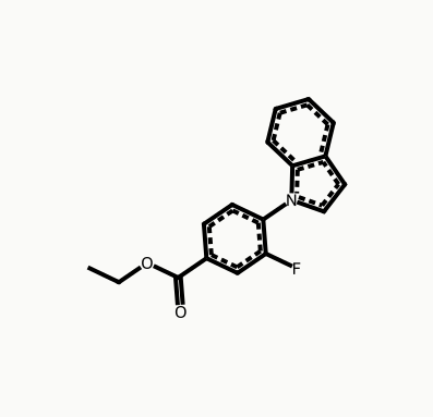 CCOC(=O)c1ccc(-n2ccc3ccccc32)c(F)c1